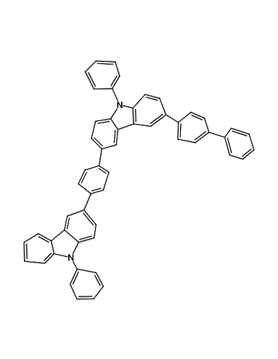 c1ccc(-c2ccc(-c3ccc4c(c3)c3cc(-c5ccc(-c6ccc7c(c6)c6ccccc6n7-c6ccccc6)cc5)ccc3n4-c3ccccc3)cc2)cc1